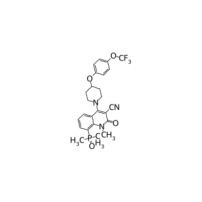 Cn1c(=O)c(C#N)c(N2CCC(Oc3ccc(OC(F)(F)F)cc3)CC2)c2cccc(P(C)(C)=O)c21